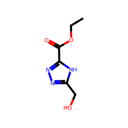 CCOC(=O)c1nnc(CO)[nH]1